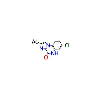 CC(=O)c1cn2c(n1)c(=O)[nH]c1cc(Cl)ccc12